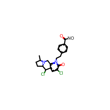 CC1CCC2C(Cl)c3cc(Cl)c(=O)n(CCc4ccc(C(=O)N=O)cc4)c3CN12